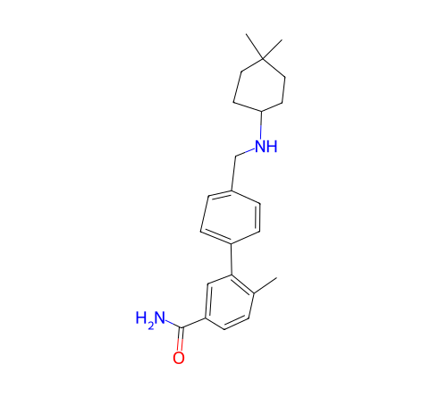 Cc1ccc(C(N)=O)cc1-c1ccc(CNC2CCC(C)(C)CC2)cc1